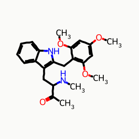 CNC(Cc1c(Cc2c(OC)cc(OC)cc2OC)[nH]c2ccccc12)C(C)=O